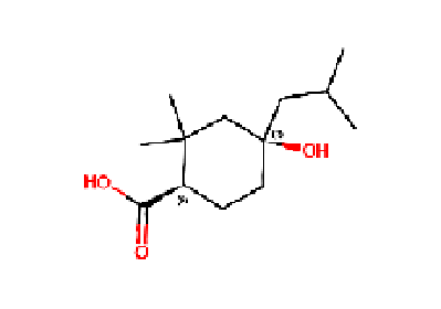 CC(C)C[C@]1(O)CC[C@@H](C(=O)O)C(C)(C)C1